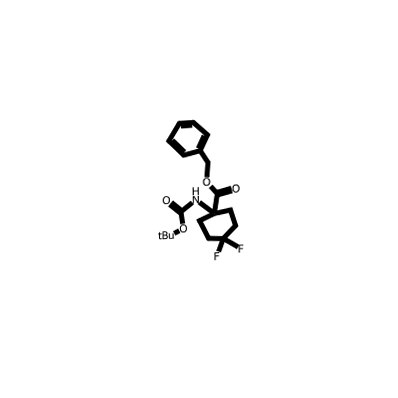 CC(C)(C)OC(=O)NC1(C(=O)OCc2ccccc2)CCC(F)(F)CC1